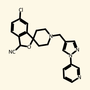 N#CC1OC2(CCN(Cc3cnn(-c4cccnc4)c3)CC2)c2cc(Cl)ccc21